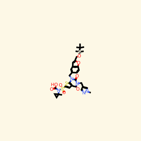 Cn1cc(Cn2c(=O)c3cc(S(=O)(=O)N(C(=O)O)C4(C)CC4)sc3n(Cc3ccc4oc(CO[Si](C)(C)C(C)(C)C)cc4c3)c2=O)cn1